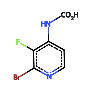 O=C(O)Nc1ccnc(Br)c1F